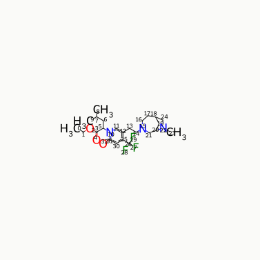 CCOC(=O)C(CC(C)C)n1cc(CCN2CCC3CC(C2)N(C)C3)c(C(F)(F)F)cc1=O